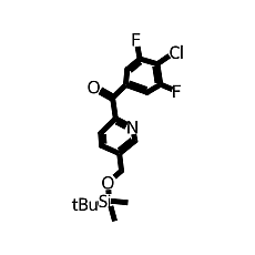 CC(C)(C)[Si](C)(C)OCc1ccc(C(=O)c2cc(F)c(Cl)c(F)c2)nc1